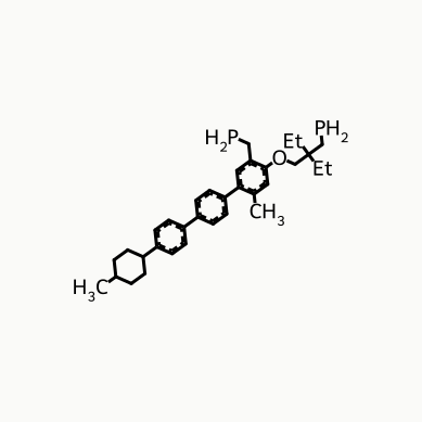 CCC(CC)(CP)COc1cc(C)c(-c2ccc(-c3ccc(C4CCC(C)CC4)cc3)cc2)cc1CP